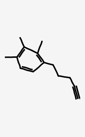 [C]#CCCCc1ccc(C)c(C)c1C